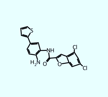 Nc1ccc(-c2cccs2)cc1NC(=O)c1cc2c(Cl)cc(Cl)cc2o1